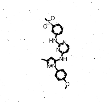 COc1ccc(-n2nc(C)cc2Nc2ccnc(Nc3cccc(S(C)(=O)=O)c3)n2)cc1